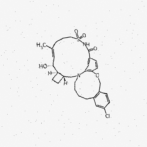 C/C1=C\[C@@H](O)[C@@H]2CC[C@H]2CN2CCCCc3cc(Cl)ccc3COc3ccc(cc32)C(=O)NS(=O)(=O)CCC1